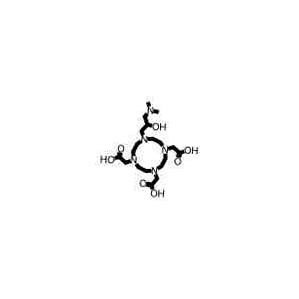 CN(C)CC(O)CN1CCN(CC(=O)O)CCN(CC(=O)O)CCN(CC(=O)O)CC1